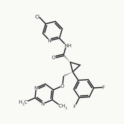 Cc1ncc(OC[C@@]2(c3cc(F)cc(F)c3)C[C@H]2C(=O)Nc2ccc(Cl)cn2)c(C)n1